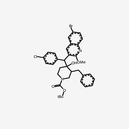 COc1nc2ccc(Br)cc2cc1C(c1ccc(Cl)cc1)C1(O)CCN(C(=O)OC(C)(C)C)CC1Cc1ccccc1